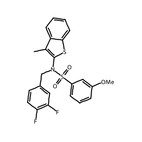 COc1cccc(S(=O)(=O)N(Cc2ccc(F)c(F)c2)c2sc3ccccc3c2C)c1